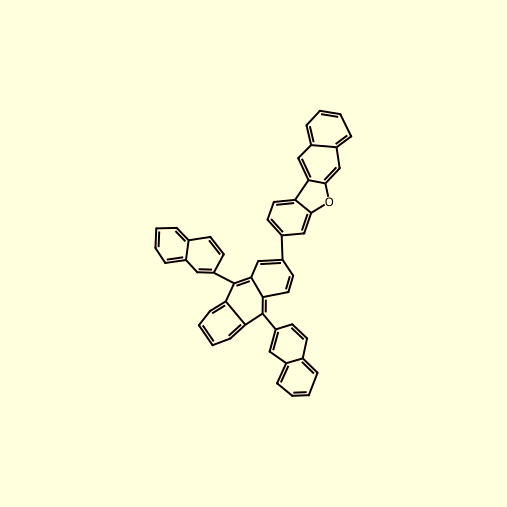 c1ccc2cc(-c3c4ccccc4c(-c4ccc5ccccc5c4)c4cc(-c5ccc6c(c5)oc5cc7ccccc7cc56)ccc34)ccc2c1